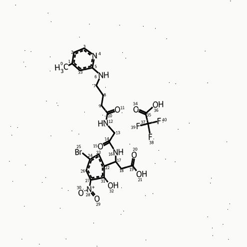 Cc1ccnc(NCCCC(=O)NCC(=O)NC(CC(=O)O)c2cc(Br)cc([N+](=O)[O-])c2O)c1.O=C(O)C(F)(F)F